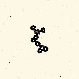 C1=CC2C(c3ccc(-c4cccc5cc(-c6nc(-c7ccccc7)nc(-c7ccccc7)n6)ccc45)cc3)=Nc3ccccc3C2C=C1